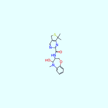 CN1c2ccccc2OC[C@H](NC(=O)c2ncc3c(n2)C(C)(C)SC3)C1O